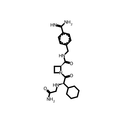 N=C(N)c1ccc(CNC(=O)[C@@H]2CCN2C(=O)[C@H](NCC(N)=O)C2CCCCC2)cc1